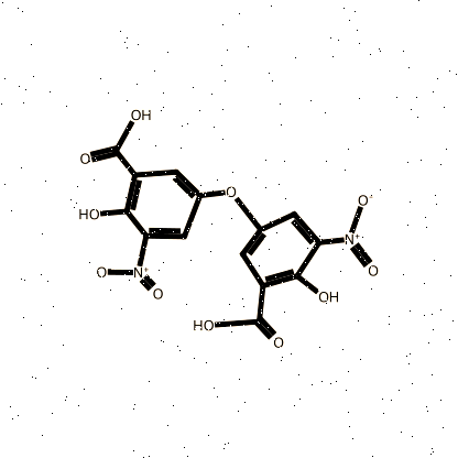 O=C(O)c1cc(Oc2cc(C(=O)O)c(O)c([N+](=O)[O-])c2)cc([N+](=O)[O-])c1O